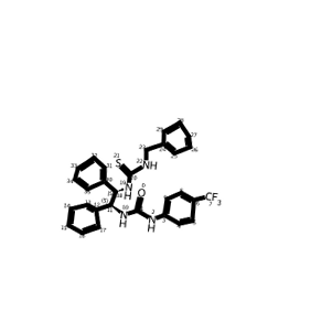 O=C(Nc1ccc(C(F)(F)F)cc1)N[C@@H](c1ccccc1)[C@@H](NC(=S)NCc1ccccc1)c1ccccc1